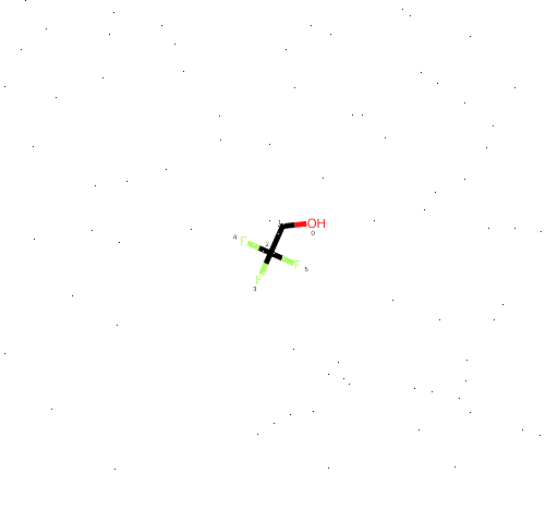 O[CH]C(F)(F)F